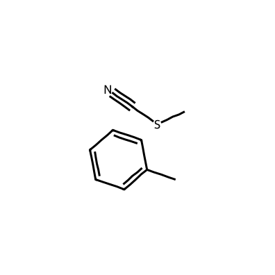 CSC#N.Cc1ccccc1